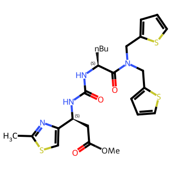 CCCC[C@H](NC(=O)N[C@@H](CC(=O)OC)c1csc(C)n1)C(=O)N(Cc1cccs1)Cc1cccs1